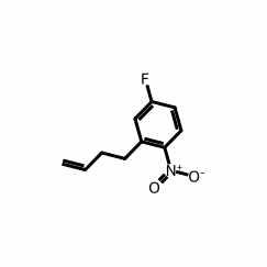 C=CCCc1cc(F)ccc1[N+](=O)[O-]